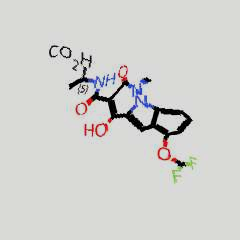 C[C@H](NC(=O)c1c(O)c2cc3c(OC(F)F)cccc3n2n(C)c1=O)C(=O)O